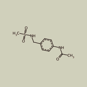 CC(=O)Nc1ccc(CNS(C)(=O)=O)cc1